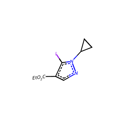 CCOC(=O)c1cnn(C2CC2)c1I